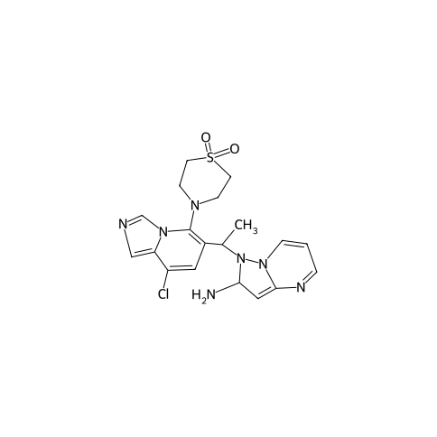 CC(c1cc(Cl)c2cncn2c1N1CCS(=O)(=O)CC1)N1C(N)C=C2N=CC=CN21